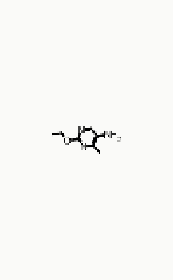 CCOc1ncc(N)c(C)n1